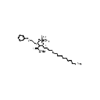 CCCCCCCCCCCCCCCCCCCCCCCCC(C(=O)OC)[C@@H](CCOCc1ccccc1)O[Si](C)(C)C(C)(C)C